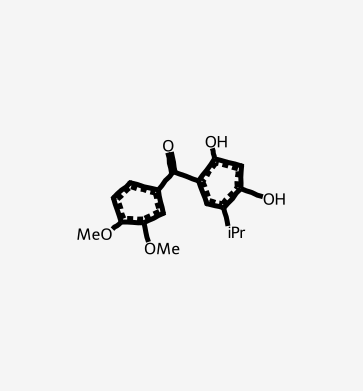 COc1ccc(C(=O)c2cc(C(C)C)c(O)cc2O)cc1OC